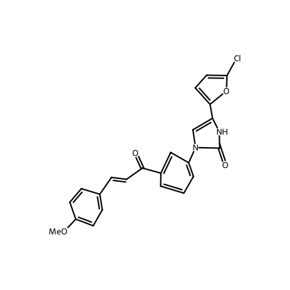 COc1ccc(/C=C/C(=O)c2cccc(-n3cc(-c4ccc(Cl)o4)[nH]c3=O)c2)cc1